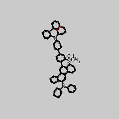 C[Si]1(C)c2cc(-c3ccc(N(c4ccccc4)c4ccccc4-c4ccccc4)cc3)ccc2-c2cc3c4ccccc4c(N(c4ccccc4)c4ccccc4)cc3c3cccc1c23